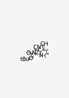 C#Cc1cccnc1C1(C#N)CN(C(=O)OC(C)(C)C)C1